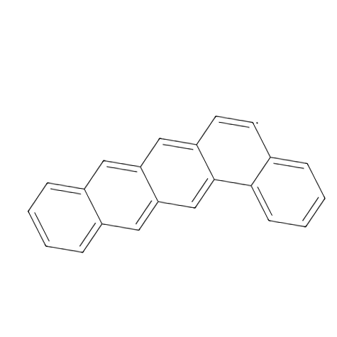 [c]1cc2cc3cc4ccccc4cc3cc2c2ccccc12